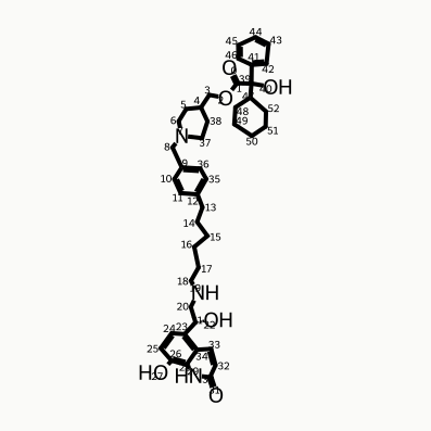 O=C(OCC1CCN(Cc2ccc(CCCCCCNC[C@H](O)c3ccc(O)c4[nH]c(=O)ccc34)cc2)CC1)C(O)(c1ccccc1)C1CCCCC1